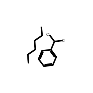 CCCCCC.ClC(Cl)c1ccccc1